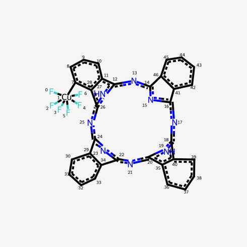 [F][Cu]([F])([F])([F])([F])([F])[c]1cccc2c3nc4nc(nc5[nH]c(nc6nc(nc([nH]3)c12)-c1ccccc1-6)c1ccccc51)-c1ccccc1-4